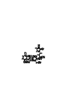 COc1ccc(F)c2[nH]c(C(=O)N[C@@H](CC(C)C)C(=O)N[C@H](C#N)CC[C@@H]3CCNC3=O)cc12